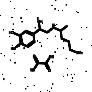 CSCCCC(C)NCC(O)c1ccc(O)c(O)c1.O=C(O)C(=O)O